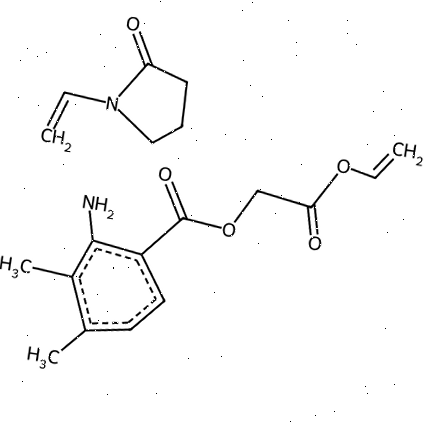 C=CN1CCCC1=O.C=COC(=O)COC(=O)c1ccc(C)c(C)c1N